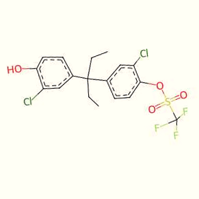 CCC(CC)(c1ccc(O)c(Cl)c1)c1ccc(OS(=O)(=O)C(F)(F)F)c(Cl)c1